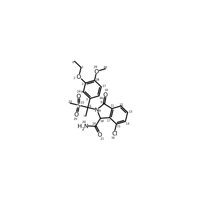 CCOc1cc(C(C)(N2C(=O)c3[c]ccc(Cl)c3C2C(N)=O)S(C)(=O)=O)ccc1OC